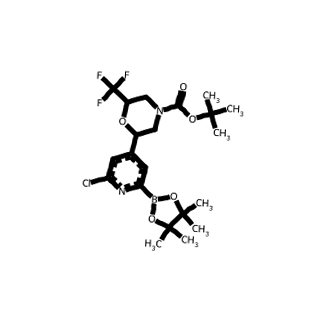 CC(C)(C)OC(=O)N1CC(c2cc(Cl)nc(B3OC(C)(C)C(C)(C)O3)c2)OC(C(F)(F)F)C1